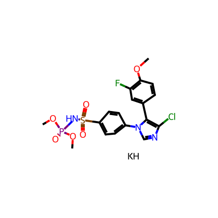 COc1ccc(-c2c(Cl)ncn2-c2ccc(S(=O)(=O)NP(=O)(OC)OC)cc2)cc1F.[KH]